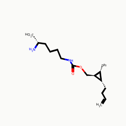 C=CCC[C@H]1[C@@H](CCC)[C@@H]1COC(=O)NCCCC[C@H](N)C(=O)O